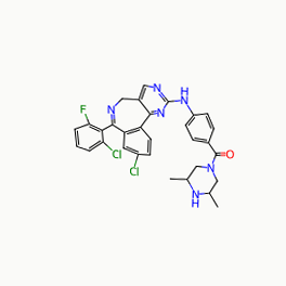 CC1CN(C(=O)c2ccc(Nc3ncc4c(n3)-c3ccc(Cl)cc3C(c3c(F)cccc3Cl)=NC4)cc2)CC(C)N1